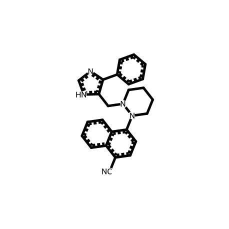 N#Cc1ccc(N2CCCCN2Cc2[nH]cnc2-c2ccccc2)c2ccccc12